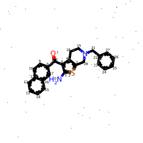 Nc1sc2c(c1C(=O)c1ccc3ccccc3c1)CCN(Cc1ccccc1)C2